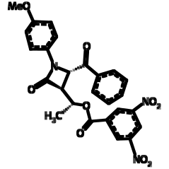 COc1ccc(N2C(=O)[C@H]([C@@H](C)OC(=O)c3cc([N+](=O)[O-])cc([N+](=O)[O-])c3)[C@H]2C(=O)c2ccccc2)cc1